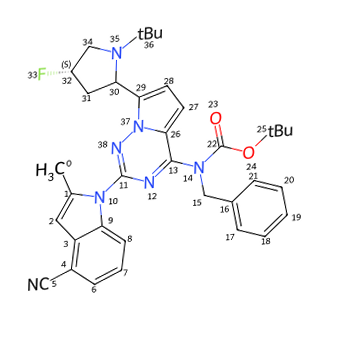 Cc1cc2c(C#N)cccc2n1-c1nc(N(Cc2ccccc2)C(=O)OC(C)(C)C)c2ccc(C3C[C@H](F)CN3C(C)(C)C)n2n1